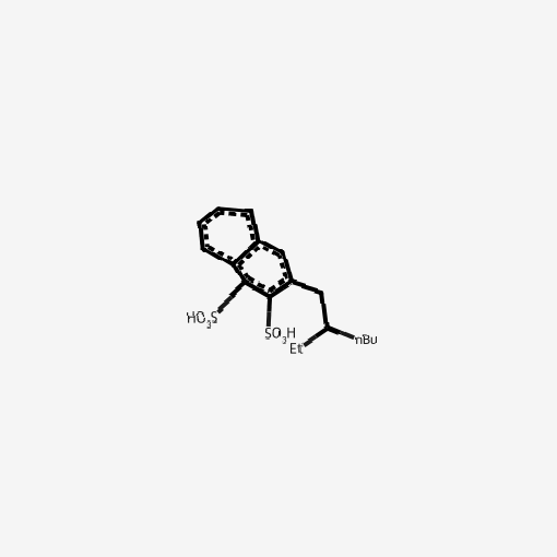 CCCCC(CC)Cc1cc2ccccc2c(S(=O)(=O)O)c1S(=O)(=O)O